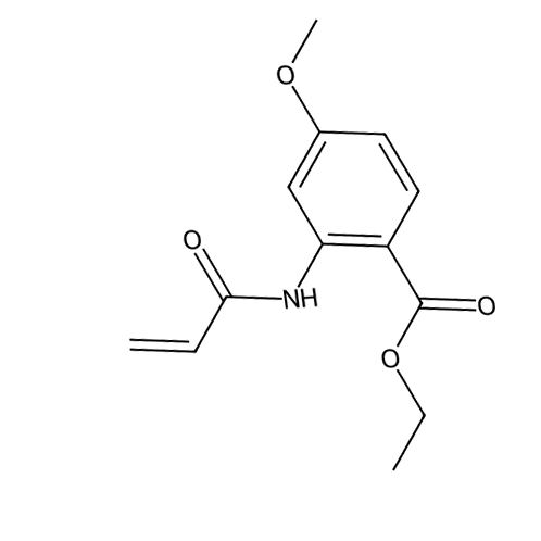 C=CC(=O)Nc1cc(OC)ccc1C(=O)OCC